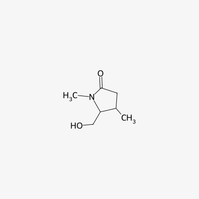 CC1CC(=O)N(C)C1CO